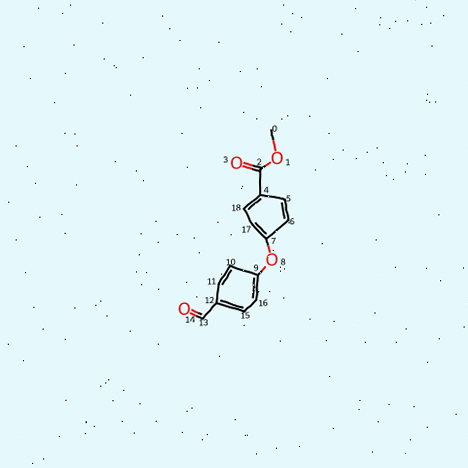 COC(=O)c1ccc(Oc2ccc(C=O)cc2)cc1